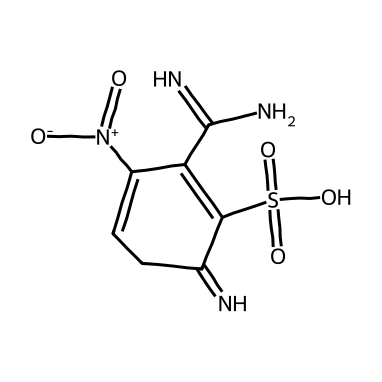 N=C(N)C1=C(S(=O)(=O)O)C(=N)CC=C1[N+](=O)[O-]